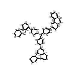 c1ccc2c(c1)-c1cccc3cc(-c4ccc(N(c5ccc(-c6ccc7ccc8ccccc8c7c6)cc5)c5ccc(-c6cccc7c6oc6ccccc67)cc5)cc4)cc-2c13